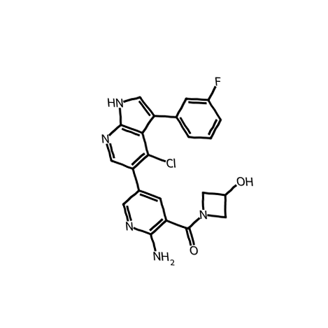 Nc1ncc(-c2cnc3[nH]cc(-c4cccc(F)c4)c3c2Cl)cc1C(=O)N1CC(O)C1